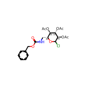 CC(=O)O[C@H]1[C@H](OC(C)=O)[C@@H](OC(C)=O)C(Cl)O[C@@H]1CNC(=O)OCc1ccccc1